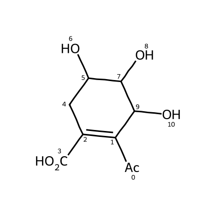 CC(=O)C1=C(C(=O)O)CC(O)C(O)C1O